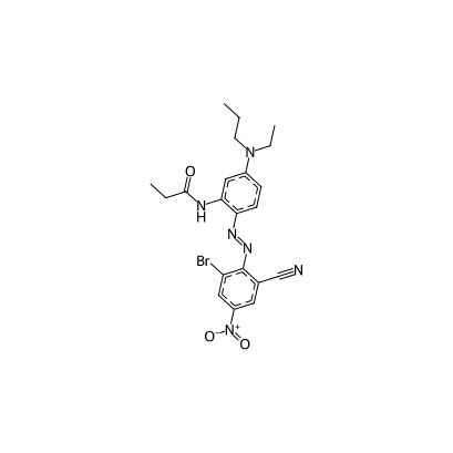 CCCN(CC)c1ccc(N=Nc2c(Br)cc([N+](=O)[O-])cc2C#N)c(NC(=O)CC)c1